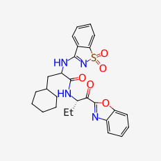 CC[C@H](NC(=O)C(CC1CCCCC1)NC1=NS(=O)(=O)c2ccccc21)C(=O)c1nc2ccccc2o1